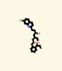 C=C/C(=C\C(/C=C/c1ccc2ccc(Cl)cc2n1)CC)CCCc1ccccc1/C(O)=C\C